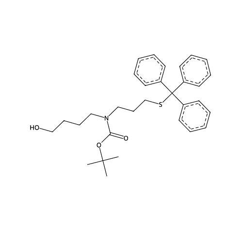 CC(C)(C)OC(=O)N(CCCCO)CCCSC(c1ccccc1)(c1ccccc1)c1ccccc1